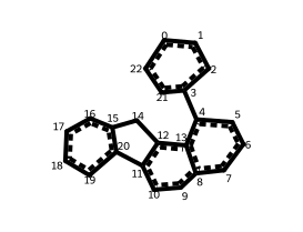 c1ccc(-c2cccc3ccc4c(c23)Cc2ccccc2-4)cc1